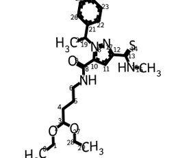 CCOC(CCCNC(=O)c1cc(C(=S)NC)nn1C(C)c1ccccc1)OCC